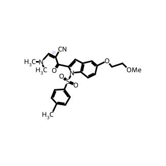 COCCOc1ccc2c(c1)cc(C(=O)/C(C#N)=C\N(C)C)n2S(=O)(=O)c1ccc(C)cc1